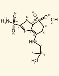 CC(C)(O)CNC1=C2C=C(S(N)(=O)=O)SC2S(=O)(=O)CC1.Cl